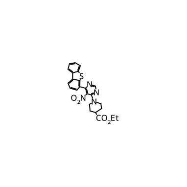 CCOC(=O)C1CCN(c2ncnc(-c3cccc4c3sc3ccccc34)c2[N+](=O)[O-])CC1